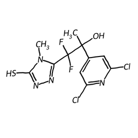 Cn1c(S)nnc1C(F)(F)C(C)(O)c1cc(Cl)nc(Cl)c1